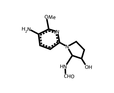 COc1nc(N2CCC(O)C2NC=O)ccc1N